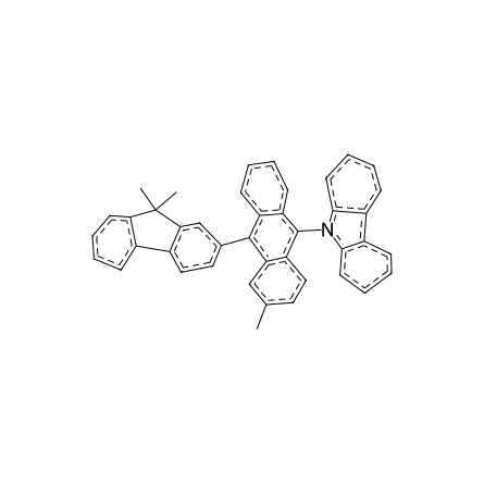 Cc1ccc2c(-n3c4ccccc4c4ccccc43)c3ccccc3c(-c3ccc4c(c3)C(C)(C)c3ccccc3-4)c2c1